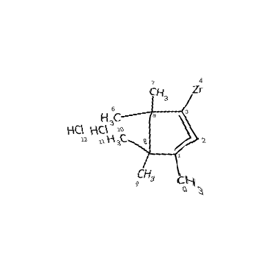 CC1=C=[C]([Zr])C(C)(C)C1(C)C.Cl.Cl